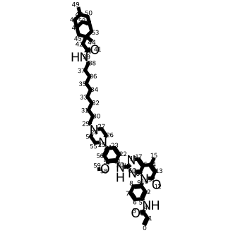 C=CC(=O)Nc1cccc(-n2c(=O)cc(C)c3cnc(Nc4ccc(N5CCN(CCCCCCCCCCNC(=O)CC6(C)CC7CC(C)CC(C7)C6)CC5)cc4OC)nc32)c1